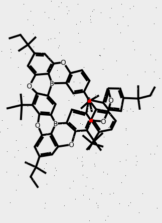 CCC(C)(C)c1cc2c3c(c1)Oc1c(cc4c(c1C(C)(C)C)Oc1cc(C(C)(C)CC)cc5c1B4c1cc4c(c(C(C)(C)C)c1O5)Oc1cc(C(C)(C)CC)cc5c1B4c1cc(C(C)(C)C)ccc1O5)B3c1cc(C(C)(C)C)ccc1O2